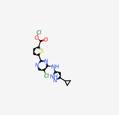 O=C(OCl)c1ccc(-c2ncc(Cl)c(Nc3cc(C4CC4)n[nH]3)n2)s1